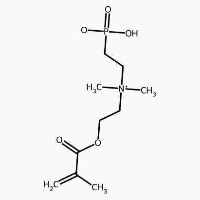 C=C(C)C(=O)OCC[N+](C)(C)CCP(=O)([O-])O